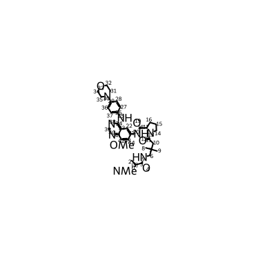 CN[C@@H](C)C(=O)NCC(C)(C)CC(=O)N1CCCC1C(=O)Nc1cc2c(Nc3ccc(N4CCOCC4)cc3)ncnc2cc1OC